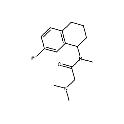 CC(C)c1ccc2c(c1)C(N(C)C(=O)CN(C)C)CCC2